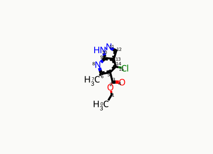 CCOC(=O)c1c(C)nc2[nH]ncc2c1Cl